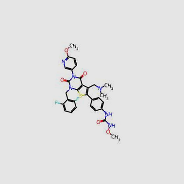 CONC(=O)Nc1ccc(-c2sc3c(c2CN(C)C)c(=O)n(-c2ccc(OC)nc2)c(=O)n3Cc2c(F)cccc2F)cc1